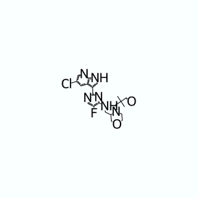 CC(C)(C=O)CN1CCOCC1CNc1nc(-c2c[nH]c3ncc(Cl)cc23)ncc1F